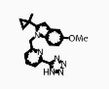 COc1ccc2c(c1)cc(C1(C)CC1)n2Cc1cccc(-c2nnn[nH]2)n1